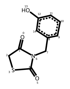 O=C1CSC(=O)N1Cc1cccc(O)c1